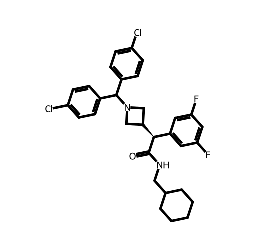 O=C(NCC1CCCCC1)[C@H](c1cc(F)cc(F)c1)C1CN(C(c2ccc(Cl)cc2)c2ccc(Cl)cc2)C1